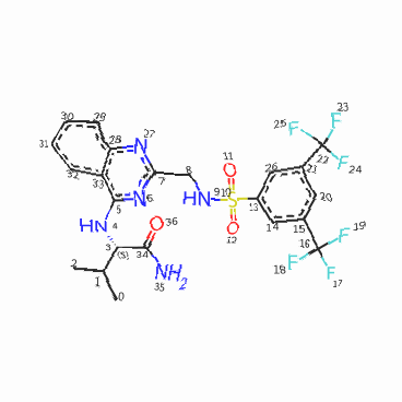 CC(C)[C@H](Nc1nc(CNS(=O)(=O)c2cc(C(F)(F)F)cc(C(F)(F)F)c2)nc2ccccc12)C(N)=O